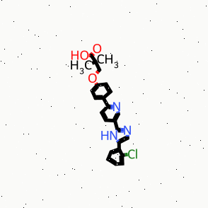 CC(C)(COc1ccc(-c2ccc(-c3ncc(-c4ccccc4Cl)[nH]3)cn2)cc1)C(=O)O